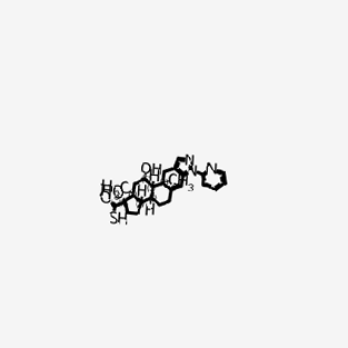 C[C@]12Cc3cnn(-c4ccccn4)c3C=C1CC[C@@H]1[C@@H]2[C@@H](O)C[C@@]2(C)[C@H]1CC[C@]2(O)C(=O)S